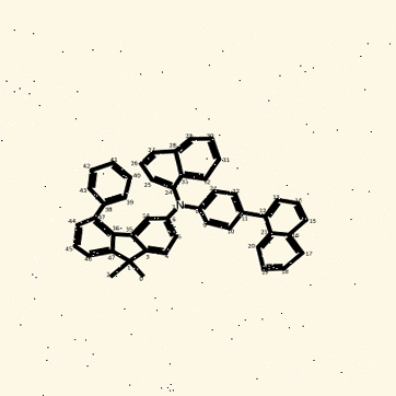 CC1(C)c2ccc(N(c3ccc(-c4cccc5ccccc45)cc3)c3cccc4ccccc34)cc2-c2c(-c3ccccc3)cccc21